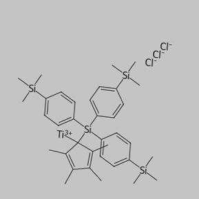 CC1=C(C)[C]([Ti+3])([Si](c2ccc([Si](C)(C)C)cc2)(c2ccc([Si](C)(C)C)cc2)c2ccc([Si](C)(C)C)cc2)C(C)=C1C.[Cl-].[Cl-].[Cl-]